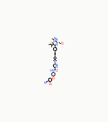 COCC[C@@H]1N=C(c2ccc(C#CC3CC4(C3)CN(c3ccc(C(=O)NC5CCC(Oc6ccc(C#N)c(OC)c6)CC5)nn3)C4)cc2)c2c(sc(C)c2C)-n2c(C)nnc21